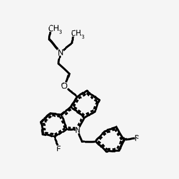 CCN(CC)CCOc1cccc2c1c1cccc(F)c1n2Cc1ccc(F)cc1